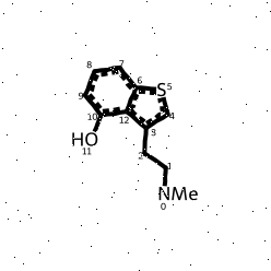 CNCCc1csc2cccc(O)c12